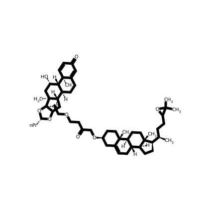 CCC[C@H]1OC2C[C@H]3[C@@H]4CCC5=CC(=O)C=C[C@]5(C)[C@H]4[C@@H](O)C[C@]3(C)[C@]2(C(=O)COCCC(=O)CO[C@H]2CC[C@@]3(C)C(=CC[C@H]4[C@@H]5CC[C@H]([C@H](C)CCC6OC6(C)C)[C@@]5(C)CC[C@@H]43)C2)O1